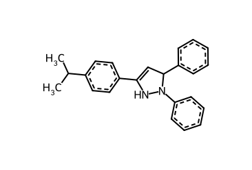 CC(C)c1ccc(C2=CC(c3ccccc3)N(c3ccccc3)N2)cc1